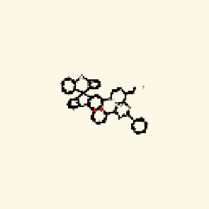 C/C=C(\C=C/C(C)c1ccc2c(c1)C1(c3ccccc3Oc3ccccc31)c1ccccc1-2)c1nc(-c2ccccc2)nc(-c2ccccc2)n1